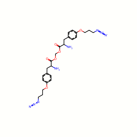 [N-]=[N+]=NCCCOc1ccc(CC(N)C(=O)OCOC(=O)C(N)Cc2ccc(OCCCN=[N+]=[N-])cc2)cc1